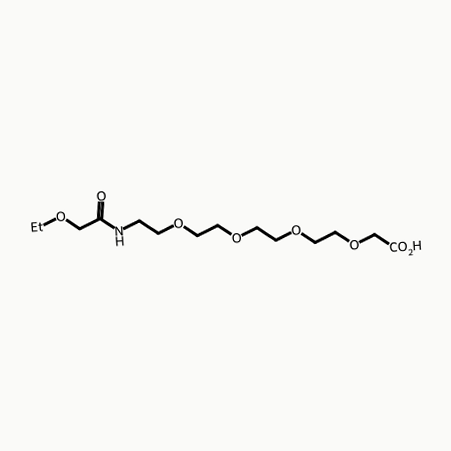 CCOCC(=O)NCCOCCOCCOCCOCC(=O)O